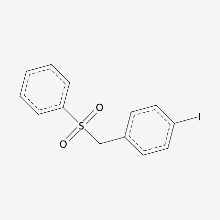 O=S(=O)(Cc1ccc(I)cc1)c1ccccc1